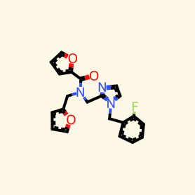 O=C(c1ccco1)N(Cc1ccco1)Cc1nccn1Cc1ccccc1F